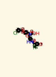 COc1ccc(CC(=O)Nc2ccc(C(=O)N(CC(=O)O)Cc3ccc(OC(=O)c4cccc(Cl)c4)cc3)cc2)c(C(F)(F)F)c1